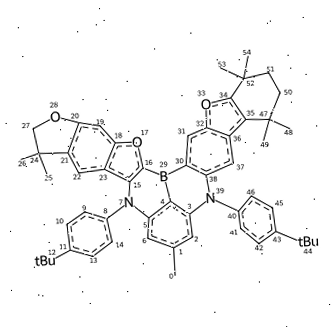 Cc1cc2c3c(c1)N(c1ccc(C(C)(C)C)cc1)c1c(oc4cc5c(cc14)C(C)(C)CO5)B3c1cc3oc4c(c3cc1N2c1ccc(C(C)(C)C)cc1)C(C)(C)CCC4(C)C